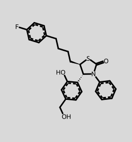 O=C1S[C@H](CCCCc2ccc(F)cc2)[C@@H](c2ccc(CO)cc2O)N1c1ccccc1